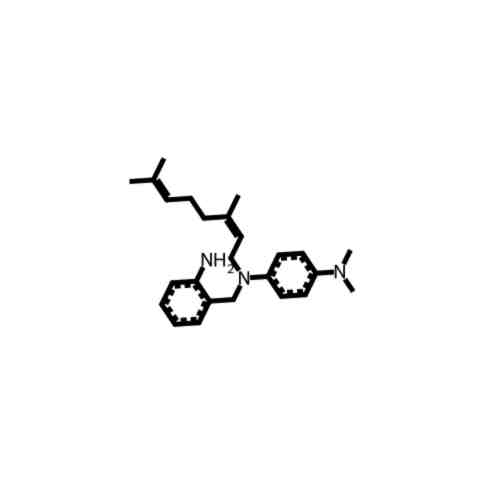 CC(C)=CCCC(C)=CCN(Cc1ccccc1N)c1ccc(N(C)C)cc1